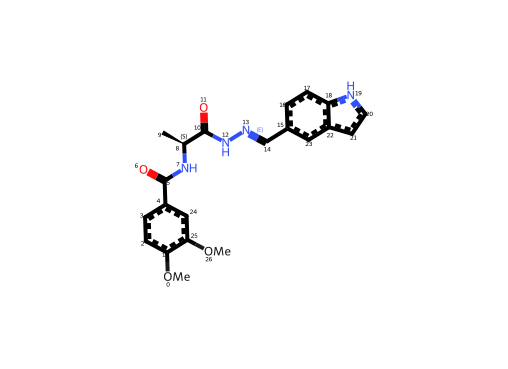 COc1ccc(C(=O)N[C@@H](C)C(=O)N/N=C/c2ccc3[nH]ccc3c2)cc1OC